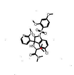 COc1ccc(S(=O)(=O)N2C(=O)C(N[C@H](C(=O)N(C)C)C(C)C)(c3cccnc3OC)c3cc(Cl)ccc32)c(OC)c1